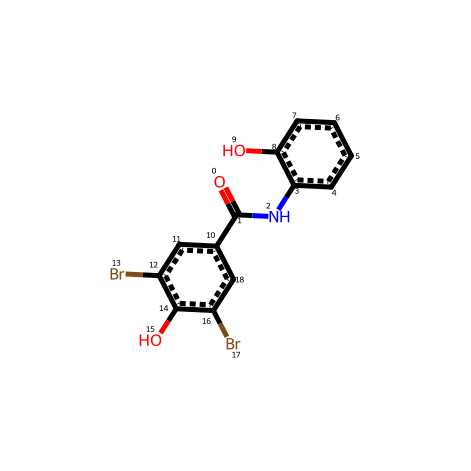 O=C(Nc1ccccc1O)c1cc(Br)c(O)c(Br)c1